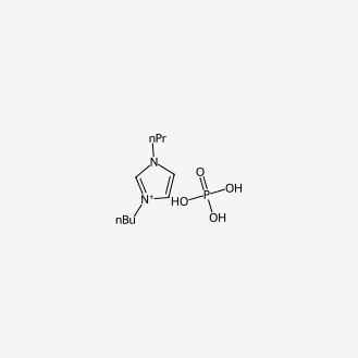 CCCC[n+]1ccn(CCC)c1.O=P(O)(O)O